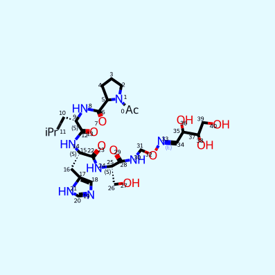 CC(=O)N1CCCC1C(=O)N[C@@H](CC(C)C)C(=O)N[C@@H](Cc1cnc[nH]1)C(=O)N[C@@H](CO)C(=O)NCO/N=C/C(O)C(O)CO